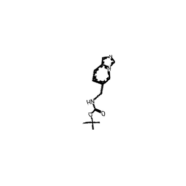 CC(C)(C)OC(=O)NCc1ccc2cncn2c1